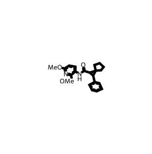 COc1ccc(NC(=O)C2C(c3ccccc3)C23CCCC3)c(OC)n1